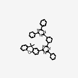 CC1(C)c2ccccc2Oc2ccc(-c3nc(-c4ccccc4)nc(-c4cccc(-c5nc(-c6ccccc6)nc(-c6ccccc6)n5)c4)n3)cc21